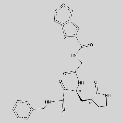 O=C(CNC(=O)c1cc2ccccc2s1)N[C@@H](C[C@@H]1CCNC1=O)C(=O)C(=O)NCc1ccccc1